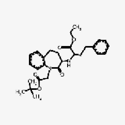 CCOC(=O)C(CCc1ccccc1)NC1CCc2ccccc2N(CC(=O)OC(C)(C)C)C1=O